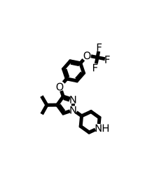 CC(C)c1cn(C2CCNCC2)nc1Oc1ccc(OC(F)(F)F)cc1